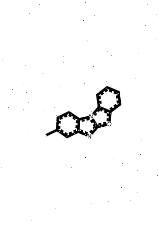 Cc1ccc2c(c1)nc1oc3ccccc3n12